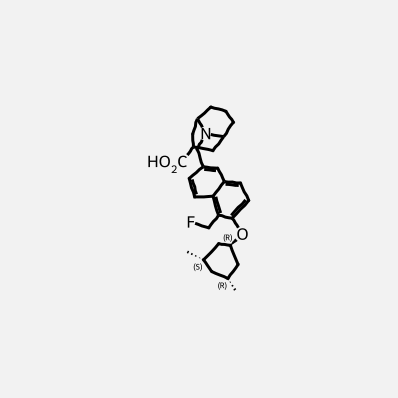 C[C@@H]1C[C@H](C)C[C@@H](Oc2ccc3cc(CN4C5CCCC4CC(C(=O)O)C5)ccc3c2CF)C1